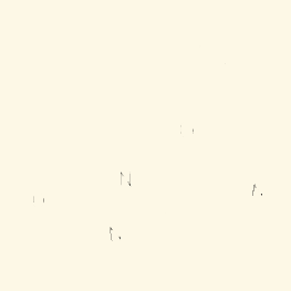 N#Cc1cc2nc(C=O)cn2cc1OCC1CC1